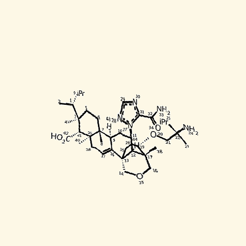 CC(C)[C@@H](C)[C@@]1(C)CC[C@]2(C)[C@H]3CC[C@@H]4[C@@]5(COC[C@@]4(C)[C@@H](OC[C@@](C)(N)C(C)C)[C@H](n4ncnc4C(N)=O)C5)C3=CC[C@@]2(C)[C@@H]1C(=O)O